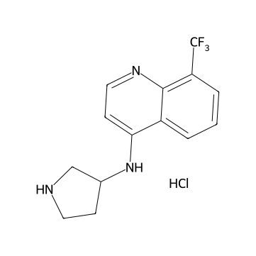 Cl.FC(F)(F)c1cccc2c(NC3CCNC3)ccnc12